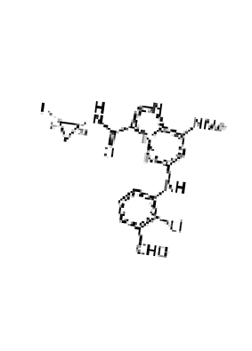 CNc1cc(Nc2cccc(C=O)c2Cl)nn2c(C(=O)N[C@@H]3C[C@@H]3F)cnc12